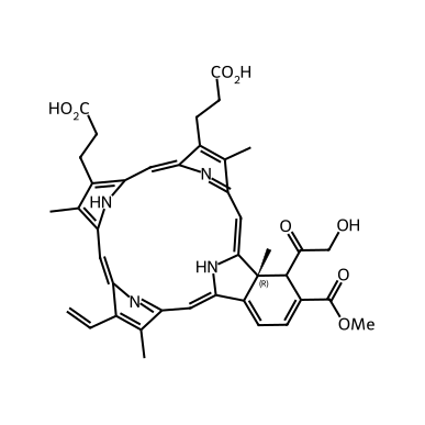 C=CC1=C(C)c2cc3[nH]c(cc4nc(cc5[nH]c(cc1n2)c(C)c5CCC(=O)O)C(CCC(=O)O)=C4C)[C@@]1(C)C3=CC=C(C(=O)OC)C1C(=O)CO